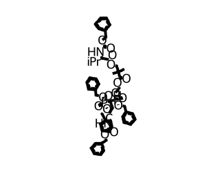 CC(C)[C@H](NC(=O)OCc1ccccc1)C(=O)OCC(C)(C)C(=O)OCOP(=O)(OCc1ccccc1)C(O)(CCCNC(=O)OCc1ccccc1)P(=O)(OCc1ccccc1)OCc1ccccc1